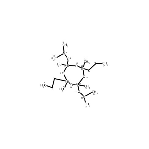 CCC[Si]1(C)O[Si](C)(ON(C)C)O[Si](C)(CCC)O[Si](C)(ON(C)C)O1